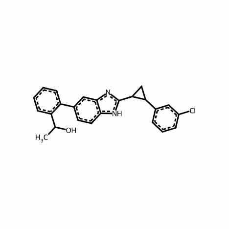 CC(O)c1ccccc1-c1ccc2[nH]c(C3CC3c3cccc(Cl)c3)nc2c1